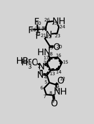 Br.Cn1nc(C2CCC(=O)NC2=O)c2cccc(NC(=O)CN3CCNC[C@@H]3C(F)(F)F)c21